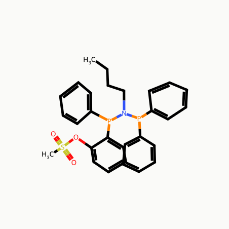 CCCCN(P(c1ccccc1)c1ccccc1)P(c1ccccc1)c1ccccc1OS(C)(=O)=O